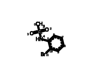 CS(=O)(=O)Nc1cc[c]cc1Br